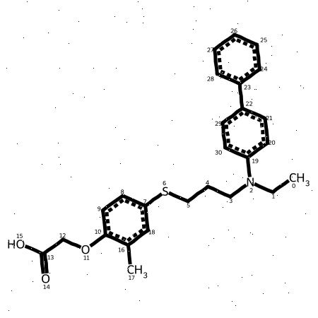 CCN(CCCSc1ccc(OCC(=O)O)c(C)c1)c1ccc(-c2ccccc2)cc1